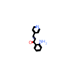 Nc1ccccc1C(=O)/C=C/c1ccncc1